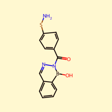 NSc1ccc(C(=O)N2N=Cc3ccccc3B2O)cc1